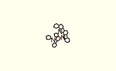 c1ccc(-n2c3ccccc3c3cc(-n4c5ccccc5c5ccc6c7ccc8ccccc8c7n(-c7ccccc7)c6c54)ccc32)cc1